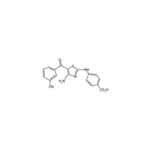 N#Cc1cccc(C(=O)c2sc(Nc3ccc(C(=O)O)cc3)nc2N)c1